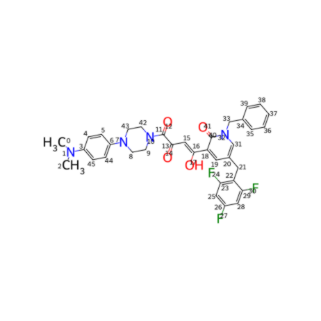 CN(C)c1ccc(N2CCN(C(=O)C(=O)C=C(O)c3cc(Cc4c(F)cc(F)cc4F)cn(Cc4ccccc4)c3=O)CC2)cc1